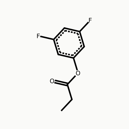 CCC(=O)Oc1cc(F)cc(F)c1